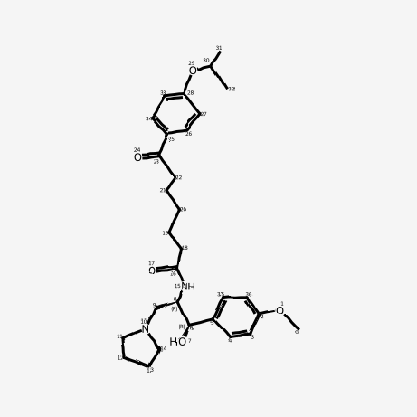 COc1ccc([C@@H](O)[C@@H](CN2CCCC2)NC(=O)CCCCCC(=O)c2ccc(OC(C)C)cc2)cc1